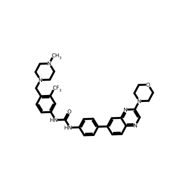 CN1CCN(Cc2ccc(NC(=O)Nc3ccc(-c4ccc5ncc(N6CCOCC6)nc5c4)cc3)cc2C(F)(F)F)CC1